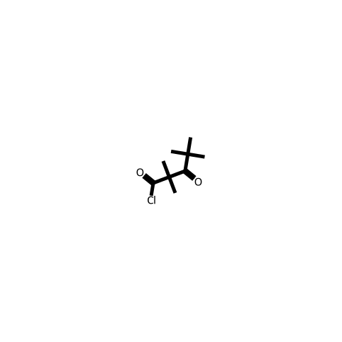 CC(C)(C)C(=O)C(C)(C)C(=O)Cl